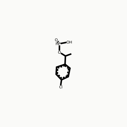 CC(O[PH](=O)O)c1ccc(Cl)cc1